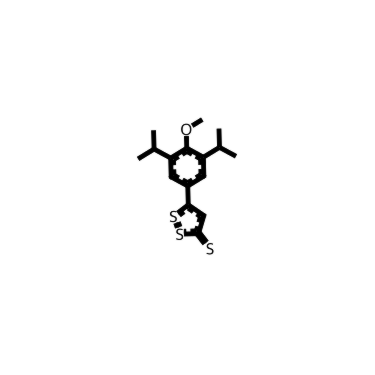 COc1c(C(C)C)cc(-c2cc(=S)ss2)cc1C(C)C